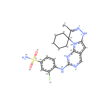 CC(C)C1=NNc2cc3cnc(Nc4ccc(S(N)(=O)=O)cc4F)nc3n2C12CCCCC2